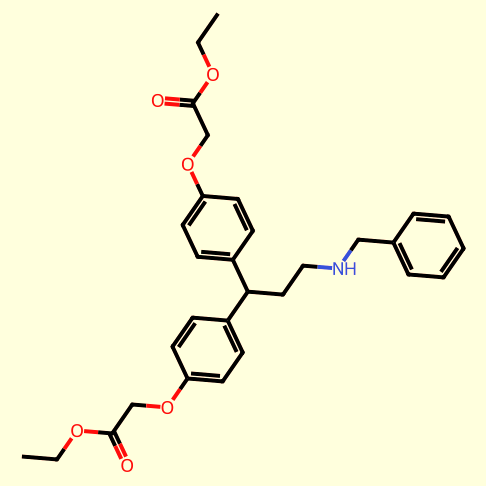 CCOC(=O)COc1ccc(C(CCNCc2ccccc2)c2ccc(OCC(=O)OCC)cc2)cc1